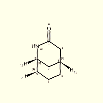 O=C1C[C@@H]2CC[C@@H](I)[C@@H](C2)N1